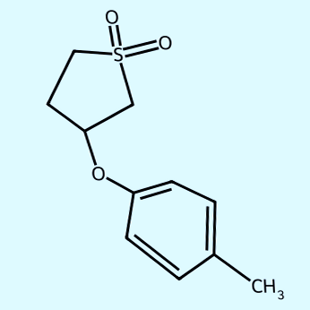 Cc1ccc(OC2CCS(=O)(=O)C2)cc1